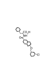 O=C(NC(Cc1ccccc1)C(=O)O)c1ccc2cc(OCc3cccc(Cl)c3)ccc2c1